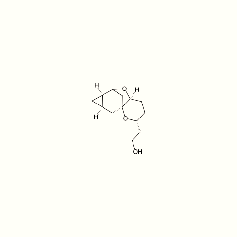 OCC[C@H]1CC[C@@H]2OC3C[C@]2(C[C@H]2C[C@@H]32)O1